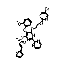 COc1ccccc1Oc1c(NS(=O)(=O)C=Cc2cccs2)nc(-c2ncccn2)nc1OCCOc1ncc(Br)cn1